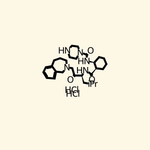 CC(C)C[C@H](NC(=O)[C@@H]1CCCC[C@@H]1NC(=O)N1CCNCC1)C(=O)CN1CCCc2ccccc2C1.Cl.Cl